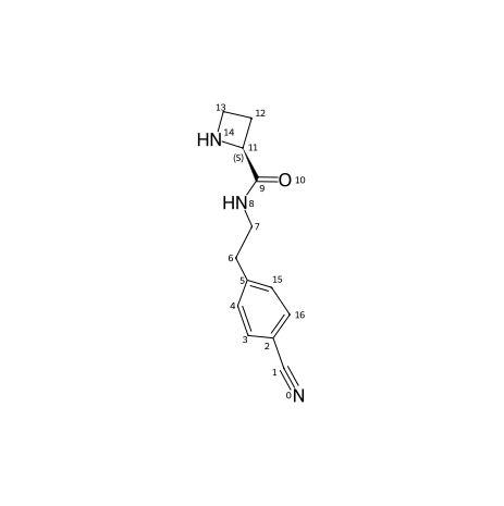 N#Cc1ccc(CCNC(=O)[C@@H]2CCN2)cc1